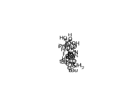 CC(C)C(=O)Nc1nc2c(ncn2[C@@H]2O[C@@]3([SiH2]C3OC(C)(C)C)[C@@H](OC(C)(C)C)[C@]2(O)S(=O)(=O)C(F)(F)F)c(=O)n1[C@@H]1O[C@H](CO)[C@@H](O)[C@@H]1O